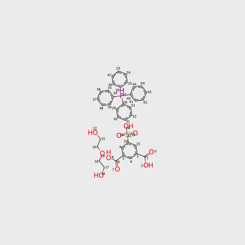 O=C(O)c1cc(C(=O)O)cc(S(=O)(=O)O)c1.OCCOCCO.c1ccc([PH](c2ccccc2)(c2ccccc2)c2ccccc2)cc1